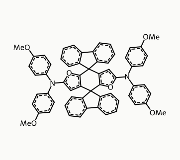 COc1ccc(N(c2ccc(OC)cc2)c2cc3c(o2)C2(c4ccccc4-c4ccccc42)c2cc(N(c4ccc(OC)cc4)c4ccc(OC)cc4)oc2C32c3ccccc3-c3ccccc32)cc1